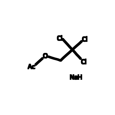 CC(=O)OCC(Cl)(Cl)Cl.[NaH]